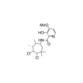 COc1ccnc(C(=O)NC2CC(C)(C)C(Cl)C(Cl)[C@H](C)C2C)c1O